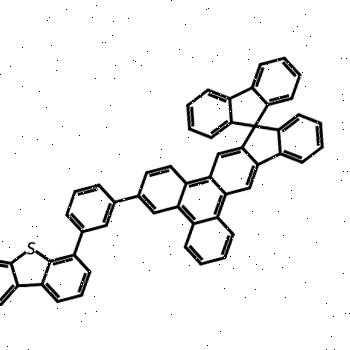 c1cc(-c2ccc3c(c2)c2ccccc2c2cc4c(cc32)C2(c3ccccc3-c3ccccc32)c2ccccc2-4)cc(-c2cccc3c2sc2ccccc23)c1